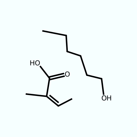 CC=C(C)C(=O)O.CCCCCCO